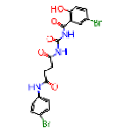 O=C(CCC(=O)Nc1ccc(Br)cc1)NC(=O)NC(=O)c1cc(Br)ccc1O